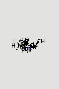 C#CCOc1cnc(/C(F)=C/c2cnc(F)c([C@]3(C)C[C@](C)(C(=O)N4C(C)COC[C@@H]4COC)SC(N)=N3)c2)cn1